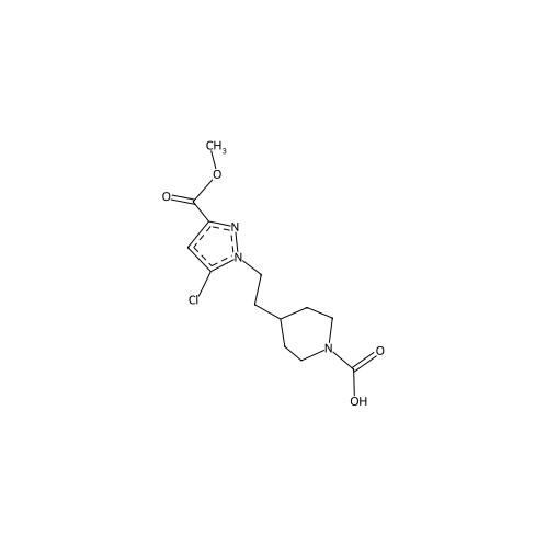 COC(=O)c1cc(Cl)n(CCC2CCN(C(=O)O)CC2)n1